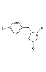 O=C1C=C(O)C(Cc2ccc(Br)cc2)S1